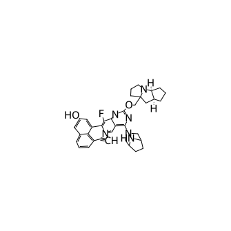 C#Cc1cccc2cc(O)cc(-c3ncc4c(N5CC6CCC(C5)N6)nc(OCC56CCCN5[C@H]5CCC[C@H]5C6)nc4c3F)c12